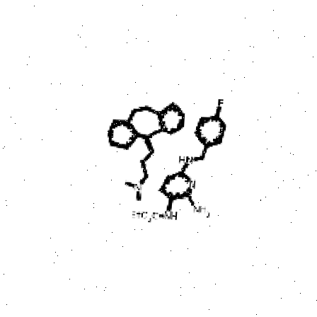 CCOC(=O)Nc1ccc(NCc2ccc(F)cc2)nc1N.CN(C)CCC=C1c2ccccc2CCc2ccccc21